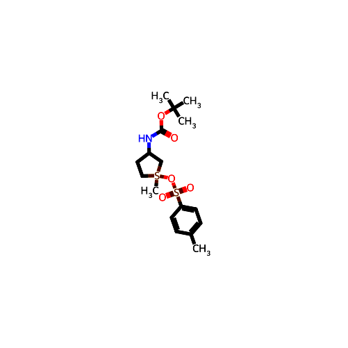 Cc1ccc(S(=O)(=O)OS2(C)CCC(NC(=O)OC(C)(C)C)C2)cc1